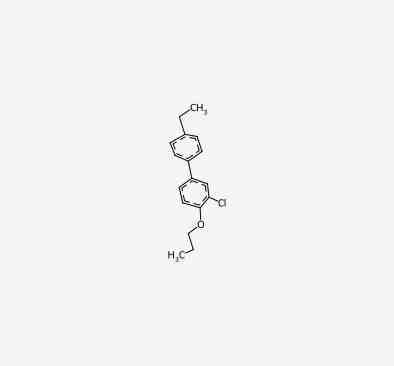 CCCOc1ccc(-c2ccc(CC)cc2)cc1Cl